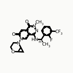 C[C@@H](Nc1nn(C)c(=O)c2cc(=O)n(N3CCOC4CC43)cc12)c1cccc(C(F)(F)F)c1F